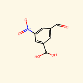 O=[C]c1cc(B(O)O)cc([N+](=O)[O-])c1